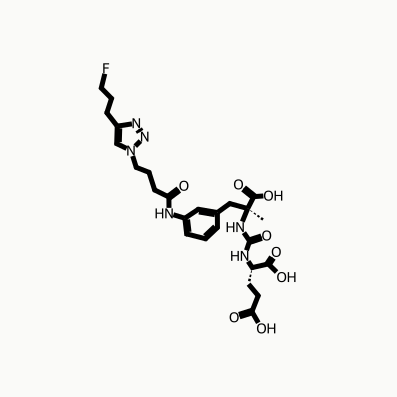 C[C@@](Cc1cccc(NC(=O)CCCn2cc(CCCF)nn2)c1)(NC(=O)N[C@@H](CCC(=O)O)C(=O)O)C(=O)O